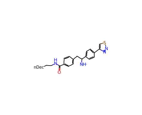 CCCCCCCCCCCCNC(=O)c1ccc(CC([NH])c2ccc(-c3csnn3)cc2)cc1